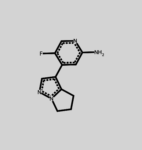 Nc1cc(-c2cnn3c2CCC3)c(F)cn1